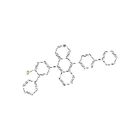 C1=CCCC(c2ccc(-c3c4ccccc4c(-c4ccc5sc6ccccc6c5c4)c4ccccc34)cc2)=C1